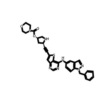 O=C(O[C@@H]1CN[C@@H](C#Cc2cc3ncnc(Nc4ccc5c(cnn5Cc5ccccc5)c4)c3s2)C1)N1CCOCC1